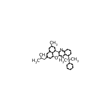 Cc1cc2c3c(cc(CC(C)C)cc3c1)Oc1nc3c(S(C)(C)c4ccccc4)cccc3nc1-2